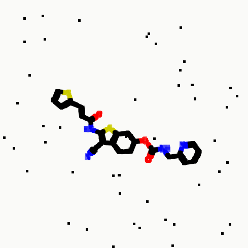 N#Cc1c(NC(=O)C=Cc2cccs2)sc2c1CCC(OC(=O)NCc1ccccn1)C2